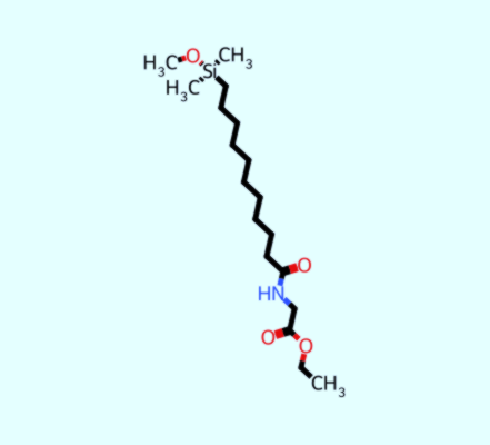 CCOC(=O)CNC(=O)CCCCCCCCCC[Si](C)(C)OC